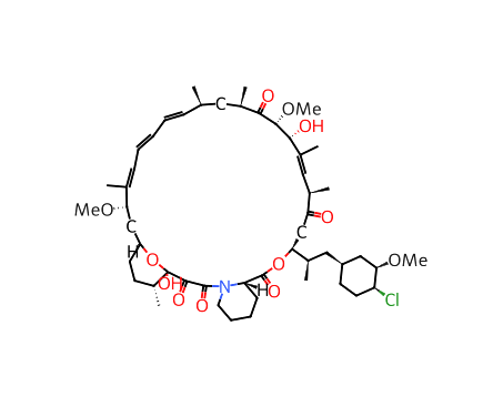 CO[C@H]1C[C@@H]2CC[C@@H](C)[C@@](O)(O2)C(=O)C(=O)N2CCCC[C@H]2C(=O)O[C@H]([C@H](C)C[C@@H]2CC[C@H](Cl)[C@H](OC)C2)CC(=O)[C@H](C)/C=C(\C)[C@@H](O)[C@@H](OC)C(=O)[C@H](C)C[C@H](C)/C=C/C=C/C=C/1C